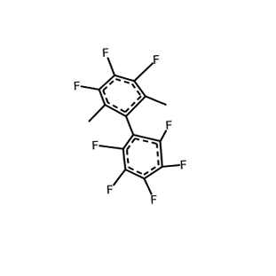 Cc1c(F)c(F)c(F)c(C)c1-c1c(F)c(F)c(F)c(F)c1F